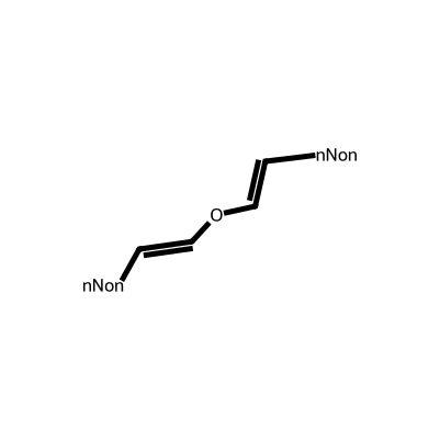 CCCCCCCCC/C=C/O/C=C/CCCCCCCCC